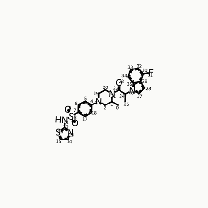 CC1CN(c2ccc(S(=O)(=O)Nc3nccs3)cc2)CCN1C(=O)C(C)n1ccc2c(F)cccc21